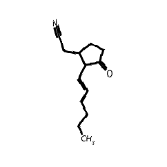 CCCCC=CC1C(=O)CCC1CC#N